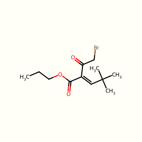 CCCOC(=O)C(=CC(C)(C)C)C(=O)CBr